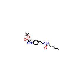 CCCCCCC(=O)NCCc1ccc(NC(C)(C)C(=O)OC(C)(C)C)cc1